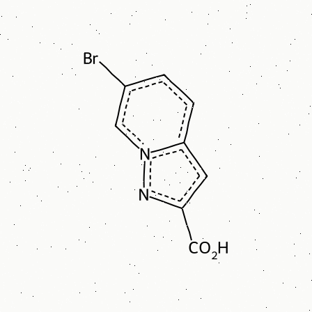 O=C(O)c1cc2ccc(Br)cn2n1